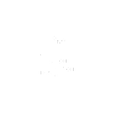 O=[N+]([O-])c1ccc(O[C@@H]2[C@@H](O)[C@H](O)CO[C@H]2O)c(Cl)c1